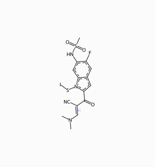 CN(C)/C=C(\C#N)C(=O)c1cc2cc(F)c(NS(C)(=O)=O)cc2n1SI